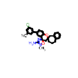 CN1OC2(CC3(CCCc4ccccc4C3)Oc3ccc(-c4cc(Cl)cc(C#N)c4)cc32)N=C1N